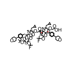 CN(C(=O)COC(=O)[C@H](CC1CC1)N(C)C(=O)[C@@H](Cc1ccc(C2CCOCC2)cc1)OC(=O)[C@H](CC(C)(C)F)N(C)C(=O)OC(C)(C)C)[C@@H](CC(C)(C)F)C(=O)O[C@H](Cc1ccc(C2CCOCC2)cc1)C(=O)N(C)[C@@H](CC1CC1)C(=O)OCC(=O)O